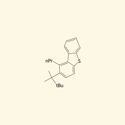 CCCc1c(C(C)(C)C(C)(C)C)ccc2sc3ccccc3c12